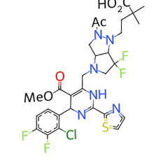 COC(=O)C1=C(CN2CC(F)(F)C3C2CN(C(C)=O)N3CCC(C)(C)C(=O)O)NC(c2nccs2)=NC1c1ccc(F)c(F)c1Cl